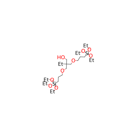 CCO[Si](CCCOCC(CC)(CO)COCCC[Si](OCC)(OCC)OCC)(OCC)OCC